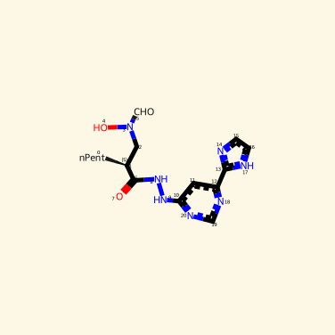 CCCCC[C@@H](CN(O)C=O)C(=O)NNc1cc(-c2ncc[nH]2)ncn1